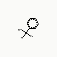 CCCC(C#N)(c1ccccc1)C(C)C